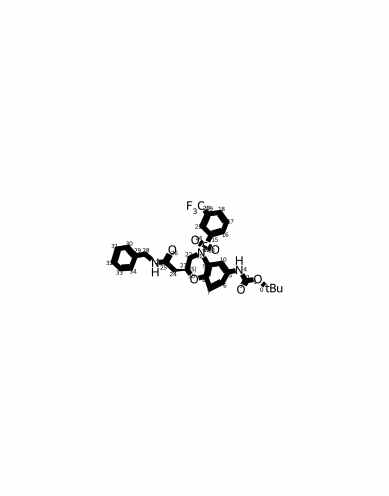 CC(C)(C)OC(=O)Nc1ccc2c(c1)N(S(=O)(=O)c1cccc(C(F)(F)F)c1)C[C@H](CC(=O)NCc1ccccc1)O2